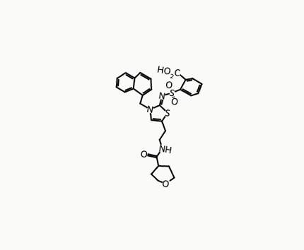 O=C(O)c1ccccc1S(=O)(=O)N=c1sc(CCNC(=O)C2CCOCC2)cn1Cc1cccc2ccccc12